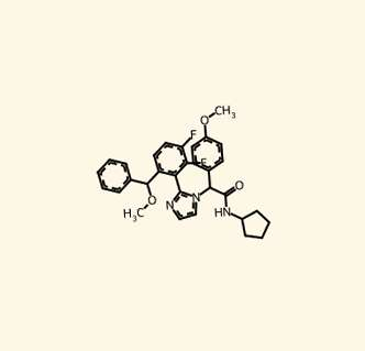 COc1ccc(C(C(=O)NC2CCCC2)n2ccnc2-c2c(C(OC)c3ccccc3)ccc(F)c2F)cc1